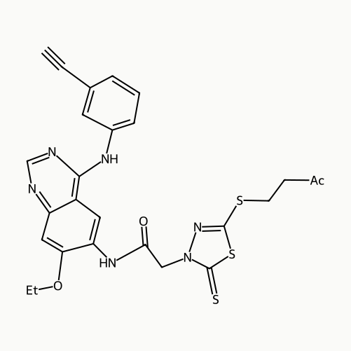 C#Cc1cccc(Nc2ncnc3cc(OCC)c(NC(=O)Cn4nc(SCCC(C)=O)sc4=S)cc23)c1